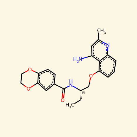 CC[C@@H](COc1cccc2nc(C)cc(N)c12)NC(=O)c1ccc2c(c1)OCCO2